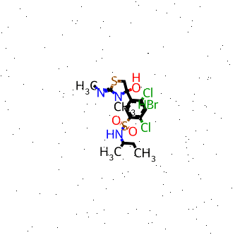 Br.CCC(C)NS(=O)(=O)c1cc(C2(O)CSC(=NC)N2C)c(Cl)cc1Cl